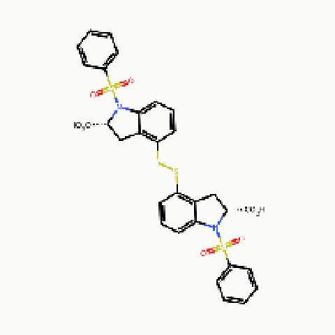 O=C(O)[C@H]1Cc2c(SSc3cccc4c3C[C@H](C(=O)O)N4S(=O)(=O)c3ccccc3)cccc2N1S(=O)(=O)c1ccccc1